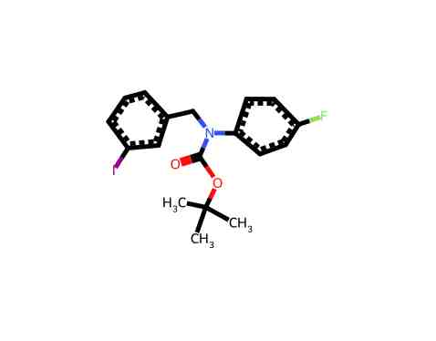 CC(C)(C)OC(=O)N(Cc1cccc(I)c1)c1ccc(F)cc1